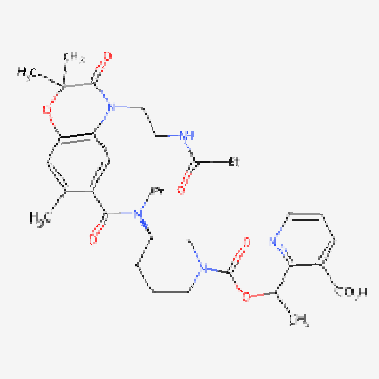 CCC(=O)NCCN1C(=O)C(C)(C)Oc2cc(C)c(C(=O)N(C(C)C)[C@@H]3CCCN(C(=O)OC(C)c4ncccc4C(=O)O)C3)cc21